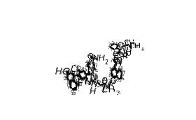 CN[C@@H](C)C(=O)N[C@H](C(=O)N1CCC[C@H]1c1nc(-c2ccc(OCCN(C)C(=O)CCNc3nc(N4CCN(C(N)=O)CC4)c4cc(Cl)c(-c5cc(O)cc6ccccc56)c(F)c4n3)c3ccccc23)cs1)C1CCCCC1